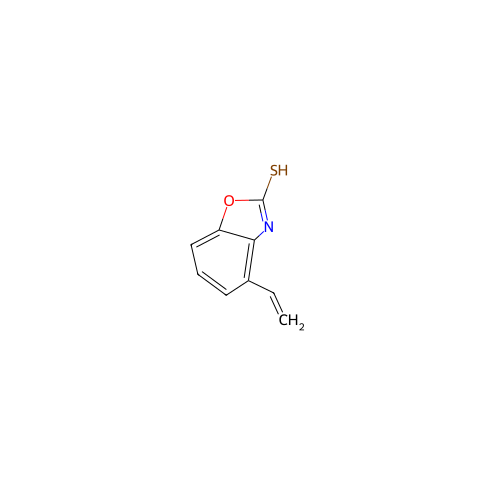 C=Cc1cccc2oc(S)nc12